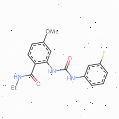 CCNC(=O)c1ccc(OC)cc1NC(=O)Nc1cccc(F)c1